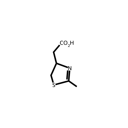 CC1=NC(CC(=O)O)CS1